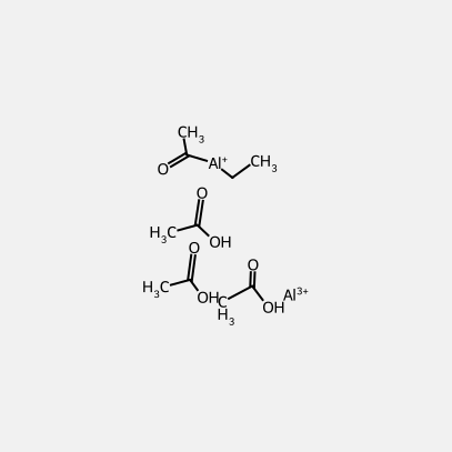 CC(=O)O.CC(=O)O.CC(=O)O.C[CH2][Al+][C](C)=O.[Al+3]